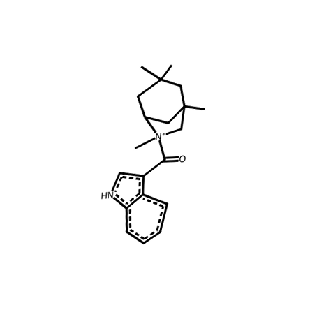 CC1(C)CC2CC(C)(C1)C[N+]2(C)C(=O)c1c[nH]c2ccccc12